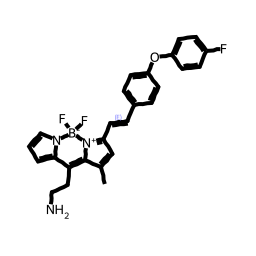 CC1=CC(/C=C/c2ccc(Oc3ccc(F)cc3)cc2)=[N+]2C1=C(CCN)c1cccn1[B-]2(F)F